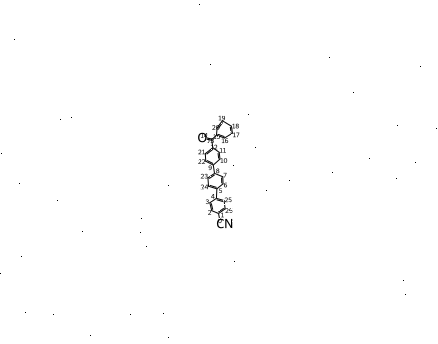 N#Cc1ccc(-c2ccc(-c3ccc(C(=O)c4ccccc4)cc3)cc2)cc1